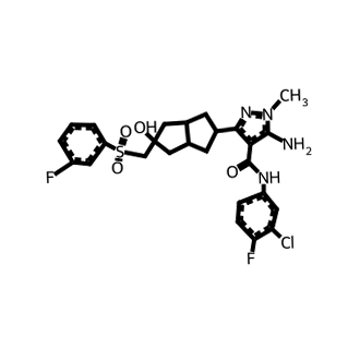 Cn1nc(C2CC3CC(O)(CS(=O)(=O)c4cccc(F)c4)CC3C2)c(C(=O)Nc2ccc(F)c(Cl)c2)c1N